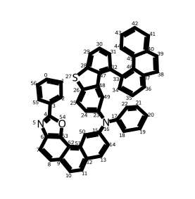 c1ccc(-c2nc3ccc4ccc5ccc(N(c6ccccc6)c6ccc7sc8cccc(-c9cccc%10ccc%11ccccc%11c9%10)c8c7c6)cc5c4c3o2)cc1